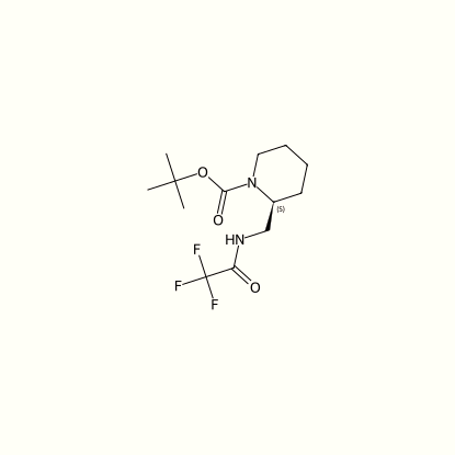 CC(C)(C)OC(=O)N1CCCC[C@H]1CNC(=O)C(F)(F)F